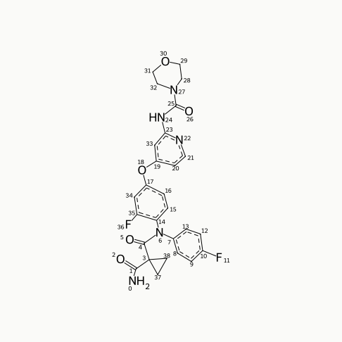 NC(=O)C1(C(=O)N(c2ccc(F)cc2)c2ccc(Oc3ccnc(NC(=O)N4CCOCC4)c3)cc2F)CC1